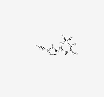 CN1C(=N)N[C@H](c2ccc(C#N)s2)CS1(=O)=O